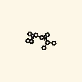 c1ccc(-c2cc(-c3ccccc3)cc(-n3c4ccccc4c4cc(-c5ccc6c7ccccc7n(-c7cccc8ccccc78)c6c5)ccc43)c2)cc1